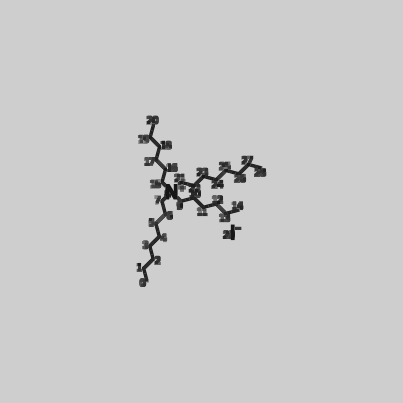 CCCCCCCC[N+](CCCCCC)(CCCCCC)CCCCCCCC.[I-]